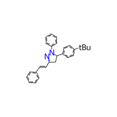 CC(C)(C)c1ccc(C2CC(C=Cc3ccccc3)=NN2c2ccccc2)cc1